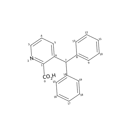 O=C(O)c1ncccc1C(c1ccccc1)c1ccccc1